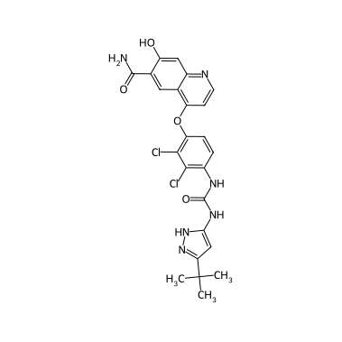 CC(C)(C)c1cc(NC(=O)Nc2ccc(Oc3ccnc4cc(O)c(C(N)=O)cc34)c(Cl)c2Cl)[nH]n1